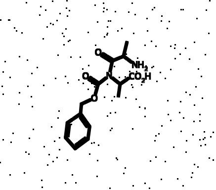 CC(N)C(=O)N(C(=O)OCc1ccccc1)C(C)C(=O)O